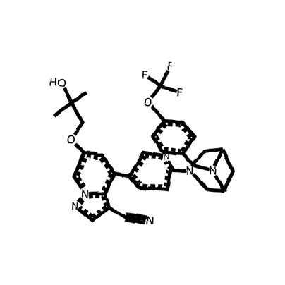 CC(C)(O)COc1cc(-c2ccc(N3CC4CC(C3)N4Cc3ccc(OC(F)(F)F)cc3)nc2)c2c(C#N)cnn2c1